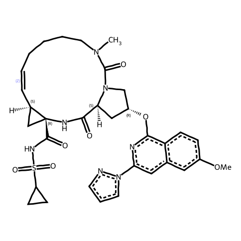 COc1ccc2c(O[C@@H]3C[C@H]4C(=O)N[C@]5(C(=O)NS(=O)(=O)C6CC6)C[C@H]5/C=C\CCCCN(C)C(=O)N4C3)nc(-n3cccn3)cc2c1